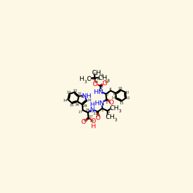 CC(C)C(NC(=O)C(Cc1ccccc1)NC(=O)OC(C)(C)C)C(=O)NC(Cc1c[nH]c2ccccc12)C(=O)O